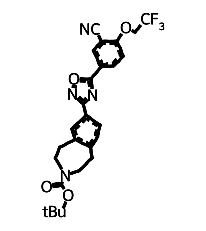 CC(C)(C)OC(=O)N1CCc2ccc(-c3noc(-c4ccc(OCC(F)(F)F)c(C#N)c4)n3)cc2CC1